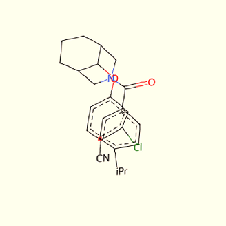 CC(C)c1ccc(C(=O)N2CC3CCCC(C2)C3Oc2ccc(C#N)c(Cl)c2)cc1